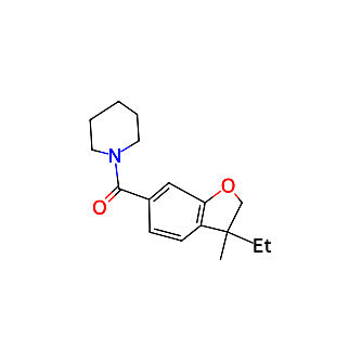 CCC1(C)COc2cc(C(=O)N3CCCCC3)ccc21